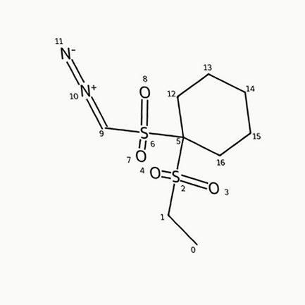 CCS(=O)(=O)C1(S(=O)(=O)C=[N+]=[N-])CCCCC1